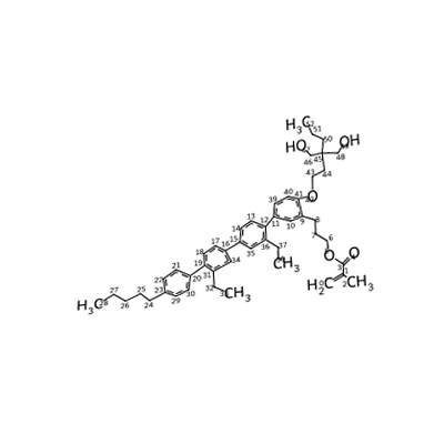 C=C(C)C(=O)OCCCc1cc(-c2ccc(-c3ccc(-c4ccc(CCCCC)cc4)c(CC)c3)cc2CC)ccc1OCCC(CO)(CO)CCC